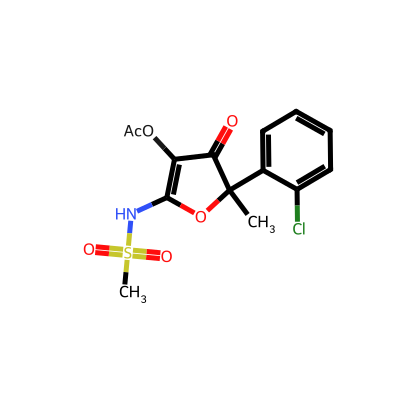 CC(=O)OC1=C(NS(C)(=O)=O)OC(C)(c2ccccc2Cl)C1=O